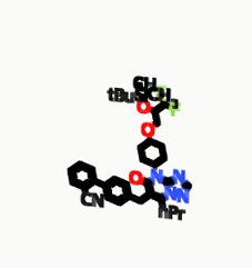 CCCc1c(Cc2ccc(-c3ccccc3C#N)cc2)c(=O)n([C@H]2CC[C@H](OCC(O[Si](C)(C)C(C)(C)C)C(F)F)CC2)c2ncnn12